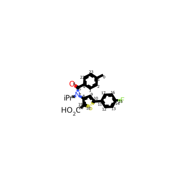 Cc1ccc(C(=O)N(c2cc(-c3ccc(F)cc3)sc2C(=O)O)C(C)C)cc1